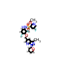 COc1ncc(F)cc1S(=O)(=O)Nc1ccc(F)c(OCc2cnc3c(c2)c(C)nn3C2CCCCO2)c1F